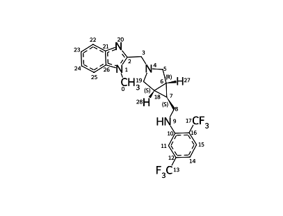 Cn1c(CN2C[C@@H]3[C@@H](CNc4cc(C(F)(F)F)ccc4C(F)(F)F)[C@@H]3C2)nc2ccccc21